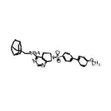 COc1ccc(-c2ccc(S(=O)(=O)N3CCc4c(ncnc4NCC45CC6CC(CC(C6)C4)C5)C3)cc2)cc1